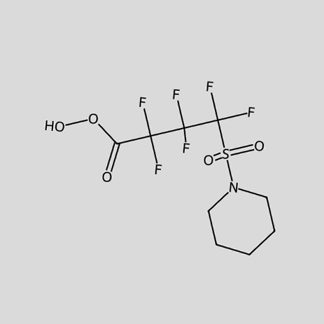 O=C(OO)C(F)(F)C(F)(F)C(F)(F)S(=O)(=O)N1CCCCC1